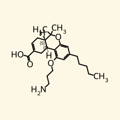 CCCCCc1cc(OCCCN)c2c(c1)OC(C)(C)[C@H]1CC=C(C(=O)O)C[C@H]21